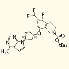 Cc1ncnc2c1ccn2[C@H]1C=C[C@@H](Oc2cc(C(F)F)c(F)c3c2CN(C(=O)OC(C)(C)C)CC3)C1